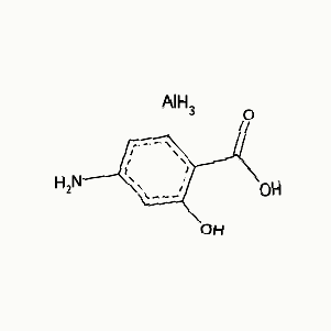 Nc1ccc(C(=O)O)c(O)c1.[AlH3]